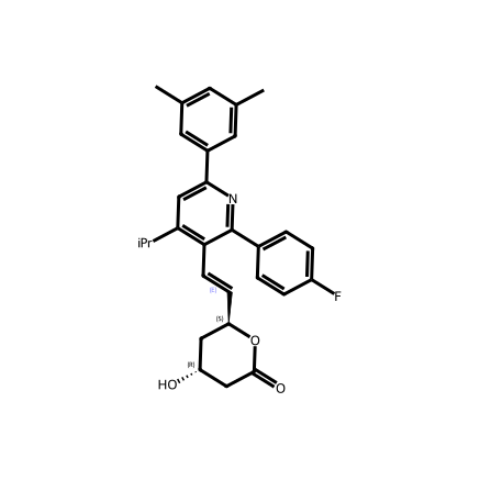 Cc1cc(C)cc(-c2cc(C(C)C)c(/C=C/[C@@H]3C[C@@H](O)CC(=O)O3)c(-c3ccc(F)cc3)n2)c1